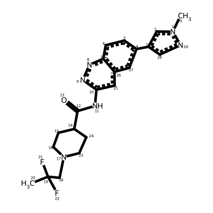 Cn1cc(-c2ccc3nnc(NC(=O)C4CCN(CC(C)(F)F)CC4)cc3c2)cn1